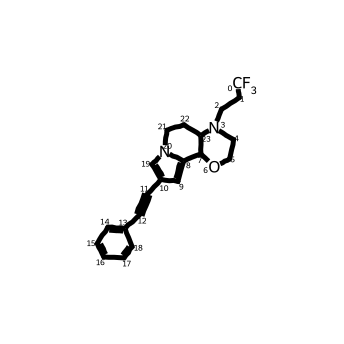 FC(F)(F)CCN1CCOC2c3cc(C#Cc4ccccc4)cn3CCC21